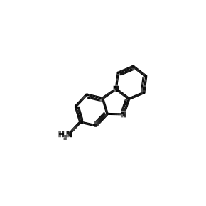 Nc1ccc2c(c1)nc1ccccn12